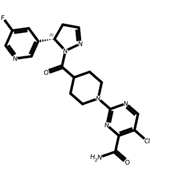 NC(=O)c1nc(N2CCC(C(=O)N3N=CC[C@H]3c3cncc(F)c3)CC2)ncc1Cl